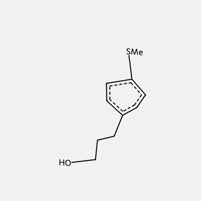 CSc1ccc(CCCO)cc1